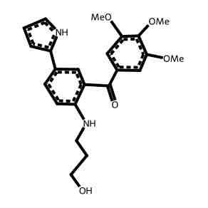 COc1cc(C(=O)c2cc(-c3ccc[nH]3)ccc2NCCCO)cc(OC)c1OC